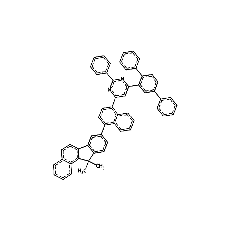 CC1(C)c2ccc(-c3ccc(-c4cc(-c5cc(-c6ccccc6)ccc5-c5ccccc5)nc(-c5ccccc5)n4)c4ccccc34)cc2-c2ccc3ccccc3c21